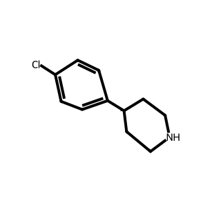 Clc1ccc([C]2CCNCC2)cc1